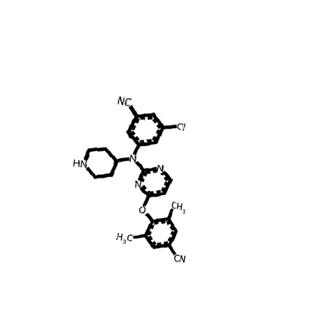 Cc1cc(C#N)cc(C)c1Oc1ccnc(N(c2cc(Cl)cc(C#N)c2)C2CCNCC2)n1